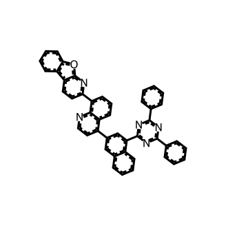 c1ccc(-c2nc(-c3ccccc3)nc(-c3cc(-c4ccnc5c(-c6ccc7c(n6)oc6ccccc67)cccc45)cc4ccccc34)n2)cc1